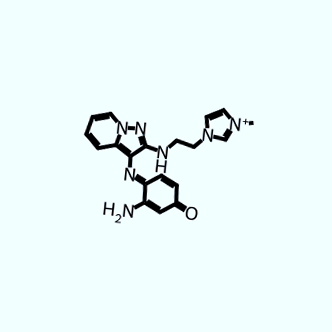 C[n+]1ccn(CCNc2nn3ccccc3c2/N=C2\C=CC(=O)C=C2N)c1